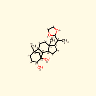 C[C@H](C1OCCO1)[C@H]1CCC2C3C(CC[C@@]21C)[C@@]1(C)CC[C@@H](O)C3(O)C1